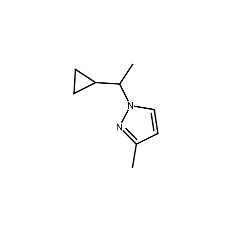 Cc1ccn(C(C)C2CC2)n1